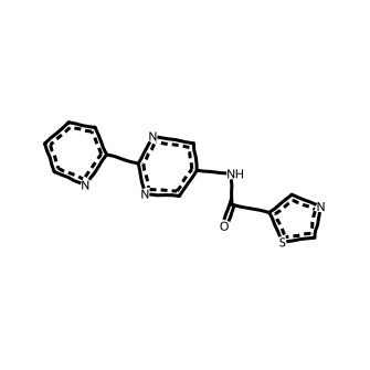 O=C(Nc1cnc(-c2ccccn2)nc1)c1cncs1